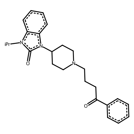 CC(C)n1c(=O)n(C2CCN(CCCC(=O)c3ccccc3)CC2)c2ccccc21